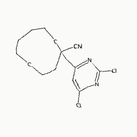 N#CC1(c2cc(Cl)nc(Cl)n2)CCCCCCCC1